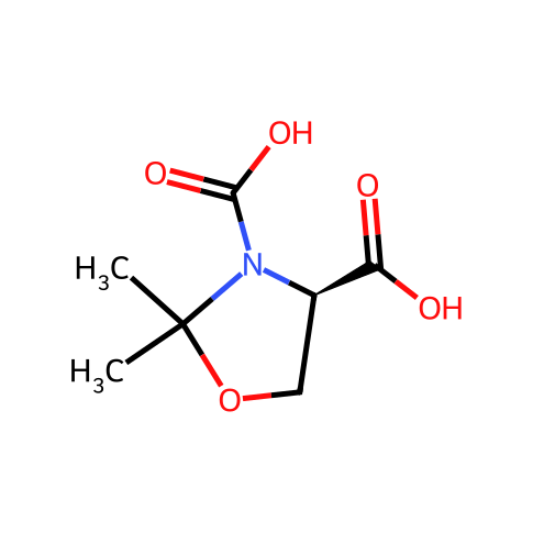 CC1(C)OC[C@H](C(=O)O)N1C(=O)O